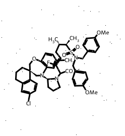 COc1ccc(CN(Cc2ccc(OC)cc2)S(=O)(=O)[C@H](C)[C@@H](C)C/C=C(\F)C(C(=O)O)N2CCC[C@H]2N2C[C@@]3(CCCc4cc(Cl)ccc43)COc3ccc(C)cc32)cc1